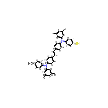 Cc1cc(C)cc(N(c2ccc(S)cc2)c2ccc(/C=C/c3ccc(N(c4ccc(C#N)cc4)c4cc(C)cc(C)c4)cc3)cc2)c1